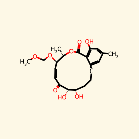 COCO[C@@H]1/C=C\C(=O)[C@@H](O)[C@@H](O)CCCc2cc(C)cc(O)c2C(=O)O[C@H]1C